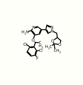 CC(Oc1cc(-c2cnn(CC3COC(C)(C)O3)c2)cnc1N)c1c(Cl)ccc(F)c1Cl